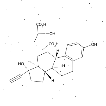 C#C[C@]1(O)CC[C@H]2[C@@H]3CCc4cc(O)ccc4[C@H]3CC[C@@]21C.CC(=O)O.CC(O)C(=O)O